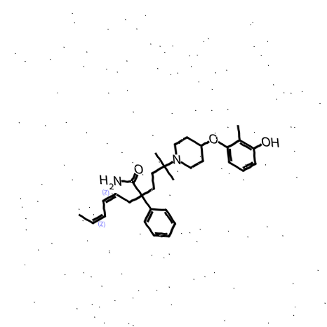 C/C=C\C=C/CC(CCC(C)(C)N1CCC(Oc2cccc(O)c2C)CC1)(C(N)=O)c1ccccc1